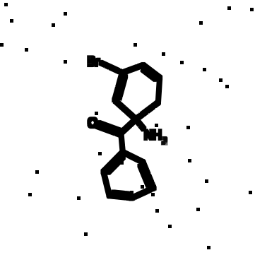 NC1(C(=O)c2ccccc2)C=C(Br)C=CC1